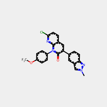 Cn1cc2cc(-c3cc4ccc(Cl)nc4n(-c4ccc(OC(F)(F)F)cc4)c3=O)ccc2n1